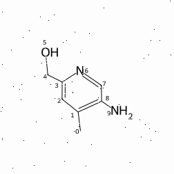 Cc1cc(CO)ncc1N